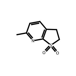 Cc1ccc2c(n1)S(=O)(=O)CC2